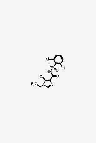 O=C(NS(=O)(=O)c1c(Cl)cccc1Cl)c1ncn(CC(F)(F)F)c1Cl